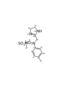 CS(=O)(=O)O.Cc1ccc(N(O)CC2=NCCN2)cc1